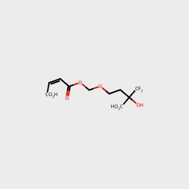 O=C(O)/C=C\C(=O)OCOCCC(O)(C(=O)O)C(F)(F)F